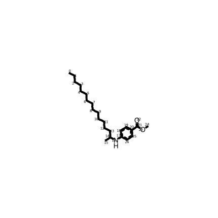 CCCCCCCCCCCCCCC(C)Nc1ccc(C(=O)OC)cc1